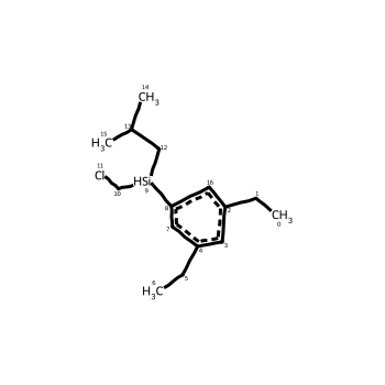 CCc1cc(CC)cc([SiH](CCl)CC(C)C)c1